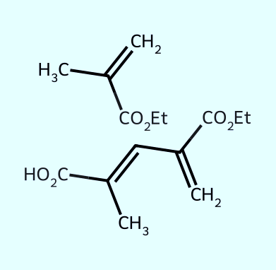 C=C(C)C(=O)OCC.C=C(C=C(C)C(=O)O)C(=O)OCC